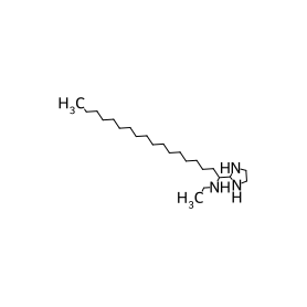 CCCCCCCCCCCCCCCCCC(NCC)C1NCCN1